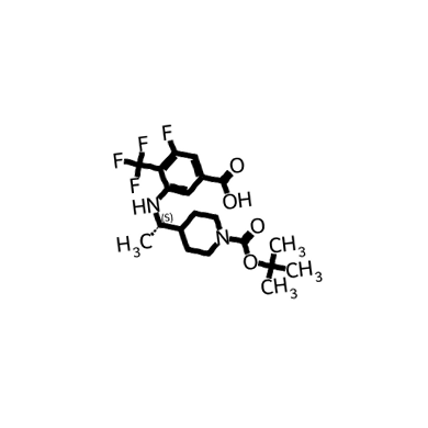 C[C@H](Nc1cc(C(=O)O)cc(F)c1C(F)(F)F)C1CCN(C(=O)OC(C)(C)C)CC1